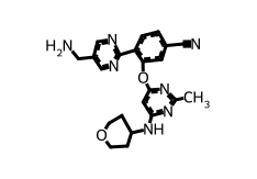 Cc1nc(NC2CCOCC2)cc(Oc2cc(C#N)ccc2-c2ncc(CN)cn2)n1